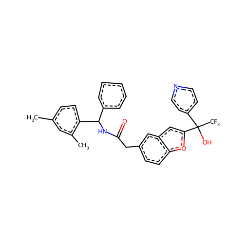 Cc1ccc(C(NC(=O)Cc2ccc3oc(C(O)(c4ccncc4)C(F)(F)F)cc3c2)c2ccccc2)c(C)c1